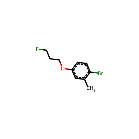 Cc1cc(OCCCF)ccc1Br